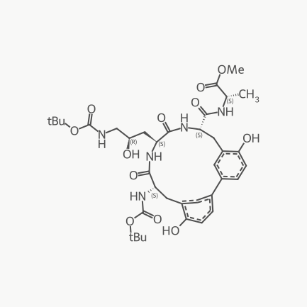 COC(=O)[C@H](C)NC(=O)[C@@H]1Cc2cc(ccc2O)-c2ccc(O)c(c2)C[C@H](NC(=O)OC(C)(C)C)C(=O)N[C@@H](C[C@@H](O)CNC(=O)OC(C)(C)C)C(=O)N1